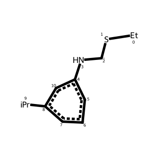 CCS[CH]Nc1cccc(C(C)C)c1